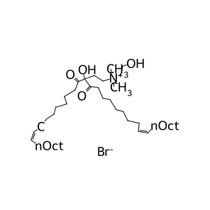 CCCCCCCC/C=C\CCCCCCCC(=O)C(O)(CC[N+](C)(C)CCO)C(=O)CCCCCCC/C=C\CCCCCCCC.[Br-]